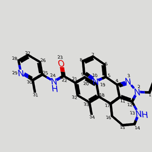 CCn1nc(-c2ccccn2)c2c1NCCCC2c1ccc(C(=O)Nc2cccnc2C)cc1C